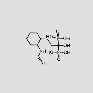 N=CNC1CCCCC1CCC(O)(P(=O)(O)O)P(=O)(O)O